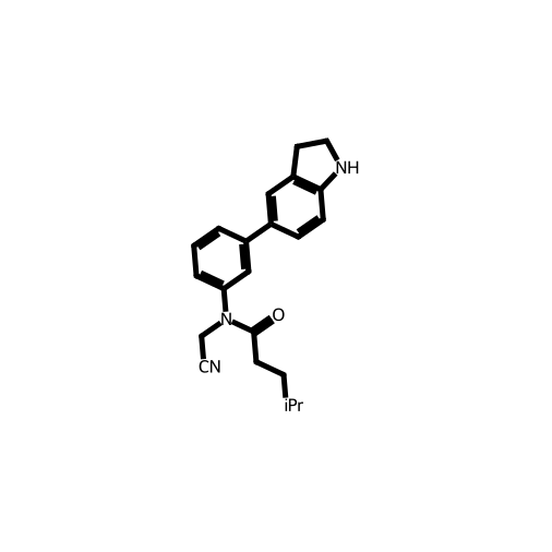 CC(C)CCC(=O)N(CC#N)c1cccc(-c2ccc3c(c2)CCN3)c1